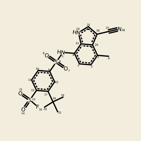 Cc1ccc(NS(=O)(=O)c2ccc(S(=O)(=O)F)c(C(C)(C)C)c2)c2[nH]cc(C#N)c12